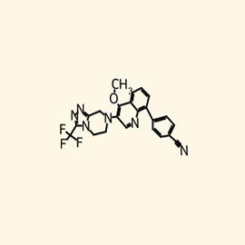 COc1c(N2CCn3c(nnc3C(F)(F)F)C2)cnc2c(-c3ccc(C#N)cc3)cccc12